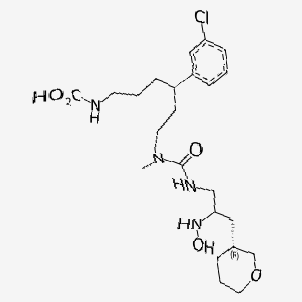 CN(CCC(CCCNC(=O)O)c1cccc(Cl)c1)C(=O)NCC(C[C@H]1CCCOC1)NO